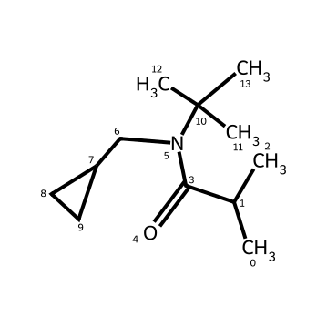 CC(C)C(=O)N(CC1CC1)C(C)(C)C